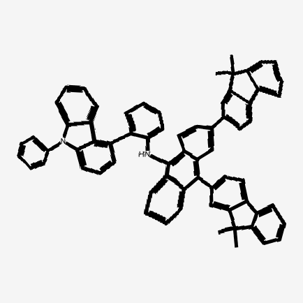 CC1(C)c2ccccc2-c2ccc(-c3ccc4c(Nc5ccccc5-c5cccc6c5c5ccccc5n6-c5ccccc5)c5ccccc5c(-c5ccc6c(c5)C(C)(C)c5ccccc5-6)c4c3)cc21